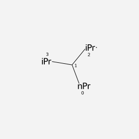 CCCC([C](C)C)C(C)C